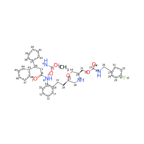 COC(=O)N[C@H](C(=O)Nc1ccccc1CC[C@@H]1CN[C@H](COC(=O)NCc2ccc(F)cc2)CO1)C(c1ccccc1)c1ccccc1